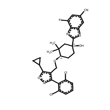 CC1(C)C[C@](O)(c2nc3c(F)cc(C#N)cc3s2)CC[C@H]1OCc1c(-c2c(Cl)cccc2Cl)noc1C1CC1